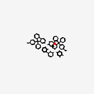 C=CC1=CC=C(C2(C3C=CC=CC3)C3=C(C=CCC3)C3=C2CC(N(c2cc(F)c(F)cc2F)C2CC=CC4c5cccc(N(C6=CC7C(C=C6)C6C=CC=CC6C7(C6=CCC(C=C)C=C6)C6C=CC=CC6)C6=CC(F)=C(F)CC6F)c5OC42)C=C3)CC1